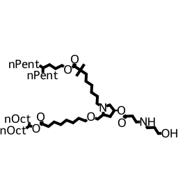 CCCCCCCCC(CCCCCCCC)OC(=O)CCCCCCCOCC1C[C@H](OC(=O)CCNCCCO)CN1CCCCCCC(C)(C)C(=O)OCCCC(CCCCC)CCCCC